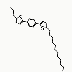 CCCCCCCCCCCCc1ccc(-c2ccc(-c3ccc(CCC)s3)cc2)s1